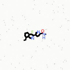 CCc1cccc2c(F)c(-c3ccc(C(=O)NC)nc3)ncc12